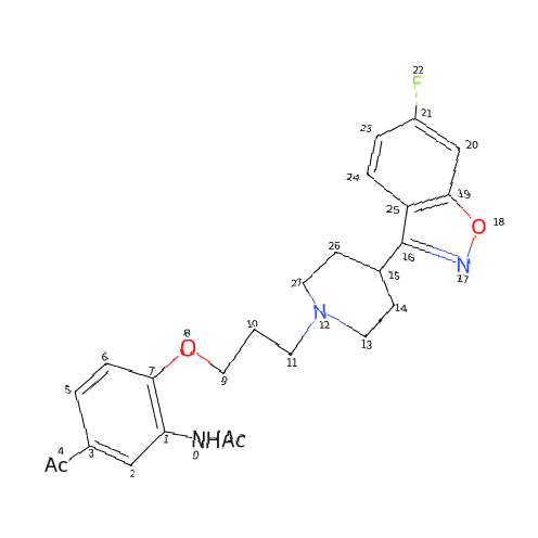 CC(=O)Nc1cc(C(C)=O)ccc1OCCCN1CCC(c2noc3cc(F)ccc23)CC1